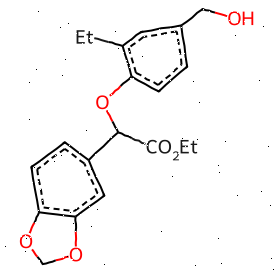 CCOC(=O)C(Oc1ccc(CO)cc1CC)c1ccc2c(c1)OCO2